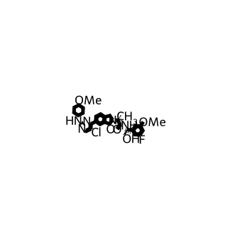 COc1cc(F)cc([C@@H](CO)NC(=O)[C@@H](C)N2Cc3ccc(-c4nc(N[C@H]5CC[C@H](OC)CC5)ncc4Cl)cc3C2=O)c1